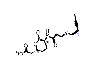 CC#C/C=C\SCCC(=O)N[C@H]1CC[C@@H](CC(=O)O)OB1O